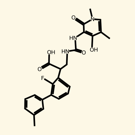 Cc1cccc(-c2cccc(C(CNC(=O)Nc3c(O)c(C)cn(C)c3=O)C(=O)O)c2F)c1